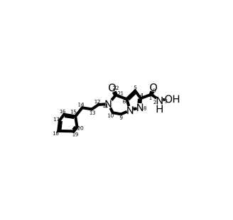 O=C(NO)c1cc2n(n1)CCN(CCCc1ccccc1)C2=O